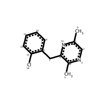 Cc1cnc(C)c(Cc2ccccc2Cl)n1